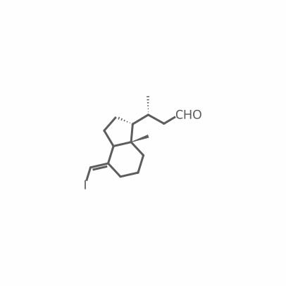 C[C@H](CC=O)[C@H]1CCC2C(=CI)CCC[C@]21C